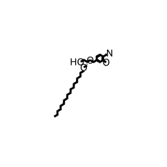 CCCCCCCCCCCCCCCCCCOC[C@H](CO)OCc1ccc(C#N)c(OC)c1